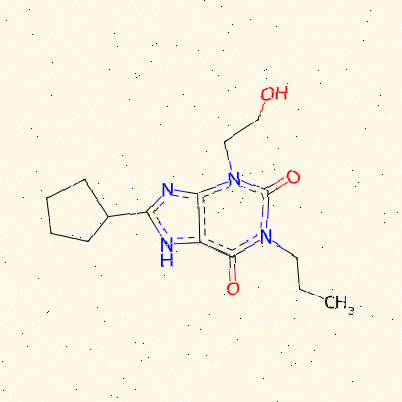 CCCn1c(=O)c2[nH]c(C3CCCC3)nc2n(CCO)c1=O